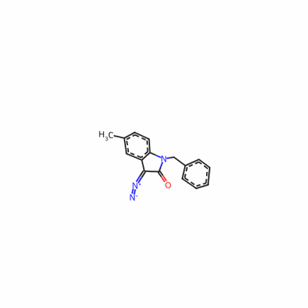 Cc1ccc2c(c1)C(=[N+]=[N-])C(=O)N2Cc1ccccc1